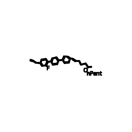 C=CCc1ccc(-c2ccc(-c3ccc(C=CCCCC(C)OCCCCC)cc3)cc2)c(F)c1